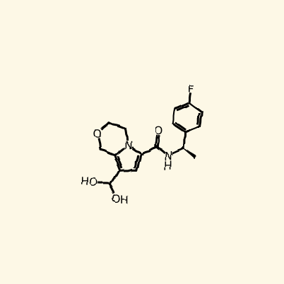 C[C@@H](NC(=O)c1cc(C(O)O)c2n1CCOC2)c1ccc(F)cc1